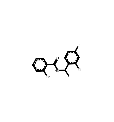 CC(NC(=O)c1ccccc1Br)c1ccc(Cl)cc1Cl